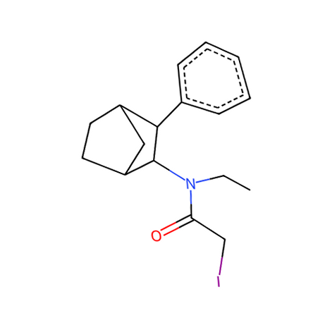 CCN(C(=O)CI)C1C2CCC(C2)C1c1ccccc1